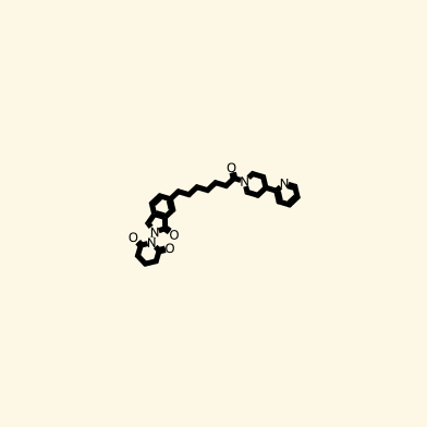 O=C(CCCCCCc1ccc2c(c1)C(=O)N(N1C(=O)CCCC1=O)C2)N1CCC(c2ccccn2)CC1